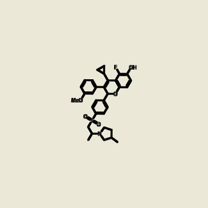 COc1cccc(C2=C(C3CC3)c3c(ccc(O)c3F)OC2c2ccc(S(=O)(=O)CC(C)N3CCC(C)C3)cc2)c1